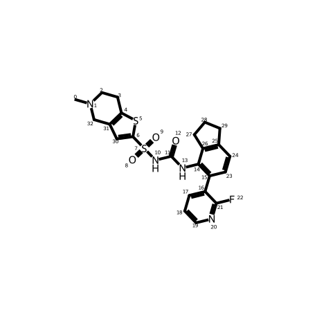 CN1CCc2sc(S(=O)(=O)NC(=O)Nc3c(-c4cccnc4F)ccc4c3CCC4)cc2C1